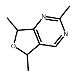 Cc1ncc2c(n1)C(C)OC2C